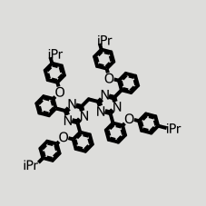 CC(C)c1ccc(Oc2ccccc2-c2nc(Cc3nc(-c4ccccc4Oc4ccc(C(C)C)cc4)nc(-c4ccccc4Oc4ccc(C(C)C)cc4)n3)nc(-c3ccccc3Oc3ccc(C(C)C)cc3)n2)cc1